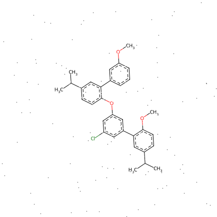 COc1cccc(-c2cc(C(C)C)ccc2Oc2cc(Cl)cc(-c3cc(C(C)C)ccc3OC)c2)c1